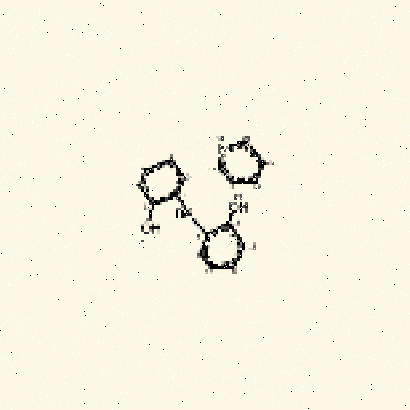 Oc1cccc[c]1[Be][c]1ccccc1O.c1ccncc1